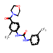 O=C(Nc1cccc(C(F)(F)F)c1)Nc1ccc(C(=O)N2CCOCC2)cc1C(F)(F)F